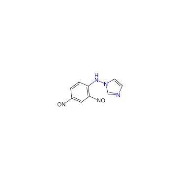 O=Nc1ccc(Nn2ccnc2)c(N=O)c1